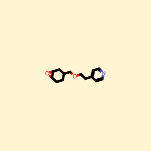 c1cc(CCOCC2CCC3OC3C2)ccn1